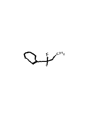 [CH2]CC(F)(F)C1CCCCC1